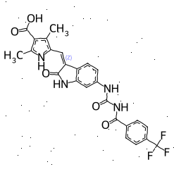 Cc1[nH]c(/C=C2\C(=O)Nc3cc(NC(=O)NC(=O)c4ccc(C(F)(F)F)cc4)ccc32)c(C)c1C(=O)O